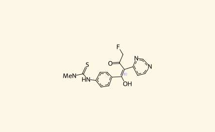 CNC(=S)Nc1ccc(/C(O)=C(\C(=O)CF)c2ccncn2)cc1